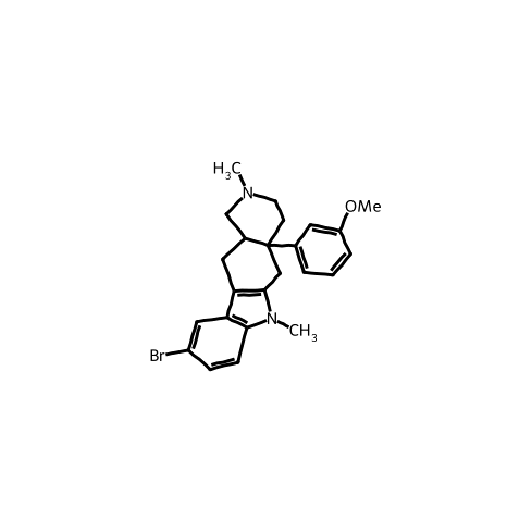 COc1cccc(C23CCN(C)CC2Cc2c(n(C)c4ccc(Br)cc24)C3)c1